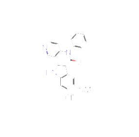 CSc1cc2c(cc1C(F)(F)F)NCC2C(=O)N(c1ccccc1)c1ccncc1